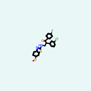 COc1ccc2nc(NCC(C(=O)c3ccc(F)cc3)c3cccc(Cl)c3)sc2c1